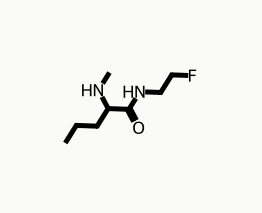 CCCC(NC)C(=O)NCCF